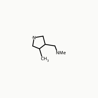 CNCC1C[N]CC1C